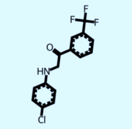 O=C(CNc1ccc(Cl)cc1)c1cccc(C(F)(F)F)c1